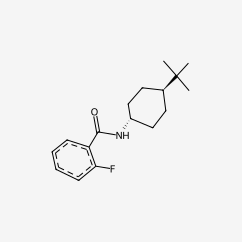 CC(C)(C)[C@H]1CC[C@H](NC(=O)c2ccccc2F)CC1